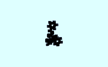 C[S+]([O-])CC(C)(NC(=O)OCc1ccccc1)c1ccccc1F